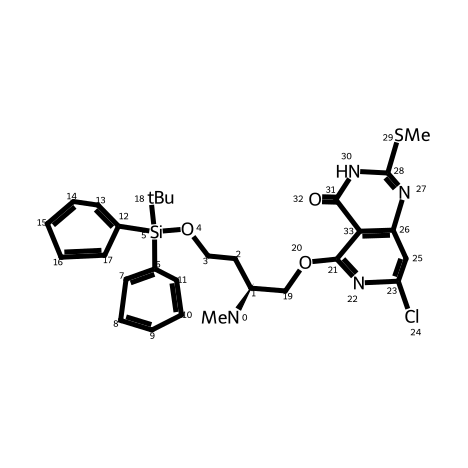 CN[C@@H](CCO[Si](c1ccccc1)(c1ccccc1)C(C)(C)C)COc1nc(Cl)cc2nc(SC)[nH]c(=O)c12